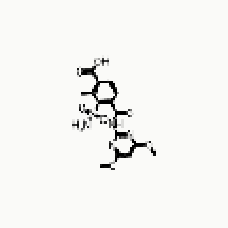 COc1cc(OC)nc(NC(=O)c2ccc(C(=O)O)c(C)c2S(N)(=O)=O)n1